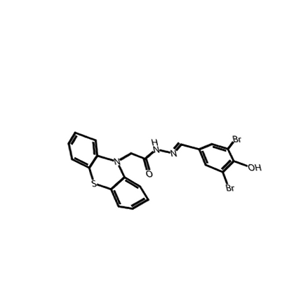 O=C(CN1c2ccccc2Sc2ccccc21)NN=Cc1cc(Br)c(O)c(Br)c1